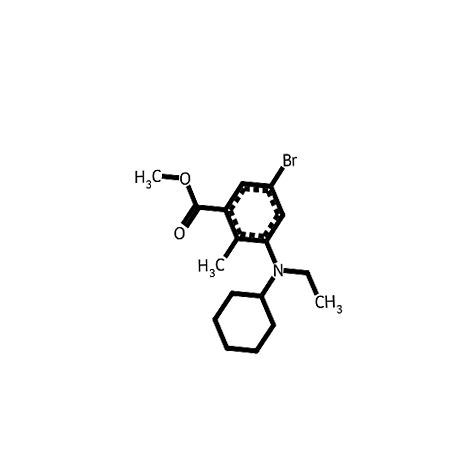 CCN(c1cc(Br)cc(C(=O)OC)c1C)C1CCCCC1